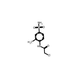 Cc1cc(S(N)(=O)=O)ccc1NC(=O)CCl